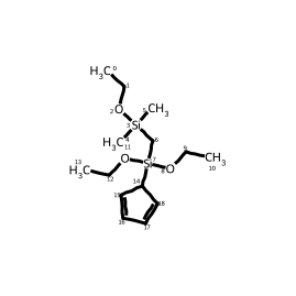 CCO[Si](C)(C)C[Si](OCC)(OCC)C1C=CC=C1